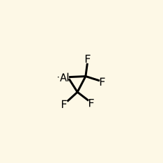 F[C]1(F)[Al][C]1(F)F